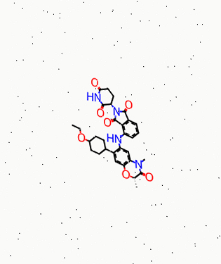 CCOC1CCC(c2cc3c(cc2Nc2cccc4c2C(=O)N([C@@H]2CCC(=O)NC2=O)C4=O)N(C)C(=O)[C@H](C)O3)CC1